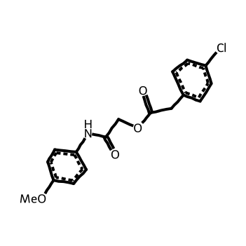 COc1ccc(NC(=O)COC(=O)Cc2ccc(Cl)cc2)cc1